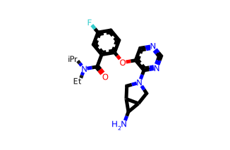 CCN(C(=O)c1cc(F)ccc1Oc1cncnc1N1CC2C(N)C2C1)C(C)C